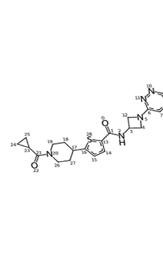 O=C(NC1CN(c2cccnn2)C1)c1ccc(C2CCN(C(=O)C3CC3)CC2)s1